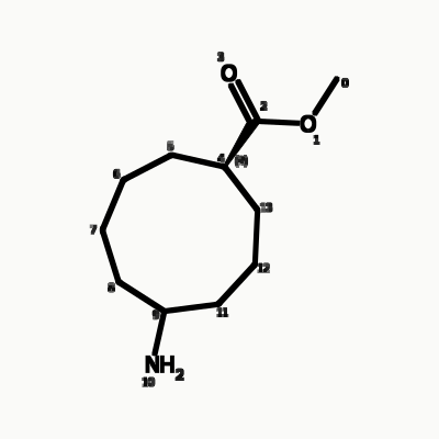 COC(=O)[C@@H]1CCCCC(N)CCC1